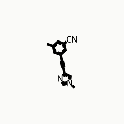 Cc1cc(C#N)cc(C#Cc2cn(C)cn2)c1